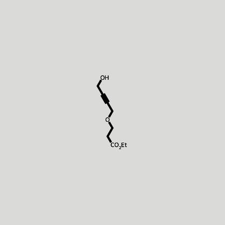 CCOC(=O)CCOCC#CCO